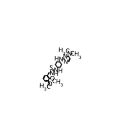 COc1cccc(CNC(=S)N[C@H]2CC[C@@H](Nc3nccc(N(C)C)n3)CC2)c1OC